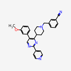 COc1cccc(-c2cnc(-c3ccncc3)nc2C2CCN(Cc3cccc(C#N)c3)CC2)c1